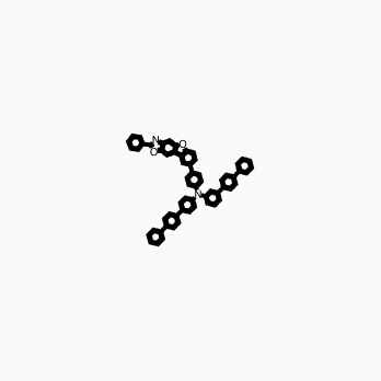 c1ccc(-c2ccc(-c3ccc(N(c4ccc(-c5ccc6oc7cc8nc(-c9ccccc9)oc8cc7c6c5)cc4)c4cccc(-c5ccc(-c6ccccc6)cc5)c4)cc3)cc2)cc1